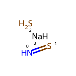 N=S.S.[NaH]